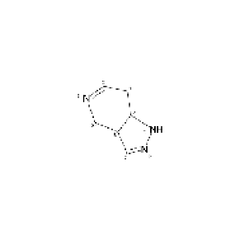 [C]1N=CCC2NN=CC12